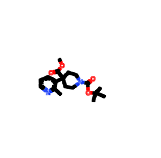 COC(=O)C1(c2cccnc2C)CCN(C(=O)OC(C)(C)C)CC1